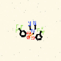 N#CCN(CC#N)CP(=O)(Oc1cccc(C(F)(F)F)c1)Oc1cccc(C(F)(F)F)c1